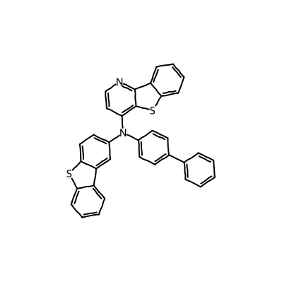 c1ccc(-c2ccc(N(c3ccc4sc5ccccc5c4c3)c3ccnc4c3sc3ccccc34)cc2)cc1